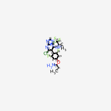 CCC(N)Oc1cc(F)c(-c2c(Cl)nc3ncnn3c2N[C@@H](C)C(F)(F)F)c(F)c1